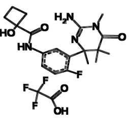 CN1C(=O)C(C)(C)C(C)(c2cc(NC(=O)C3(O)CCC3)ccc2F)N=C1N.O=C(O)C(F)(F)F